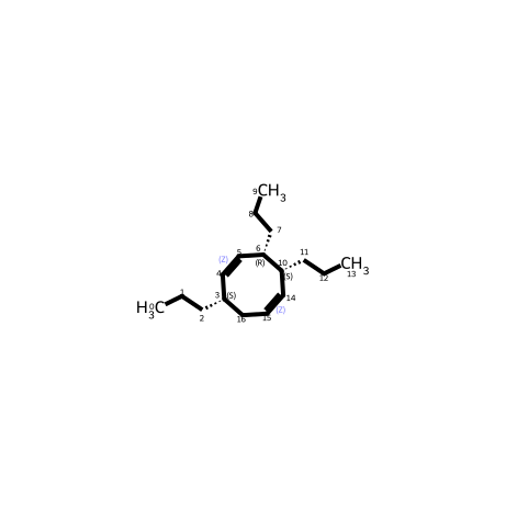 CCC[C@@H]1/C=C\[C@H](CCC)[C@H](CCC)/C=C\C1